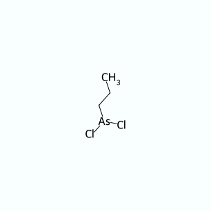 CCC[As](Cl)Cl